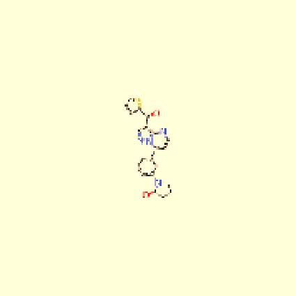 O=C(c1cccs1)c1cnn2c(-c3cccc(N4CCCC4=O)c3)ccnc12